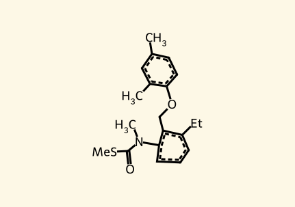 CCc1cccc(N(C)C(=O)SC)c1COc1ccc(C)cc1C